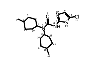 CC1CCC(N(C(=O)Nc2ncc(Cl)s2)C2CCC(C)CC2)CC1